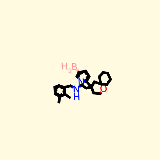 Bc1ccc(C2(CCNCc3cccc(C)c3C)CCOC3(CCCCC3)C2)nc1